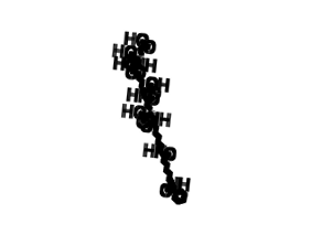 O=C(O)CC[C@H](NP(=O)(O)OCCC[C@H](NC(=O)CC[C@H](NC(=O)CCCCCNC(=O)CCCCCNC(=O)c1ccccc1)C(=O)O)C(=O)O)C(=O)O